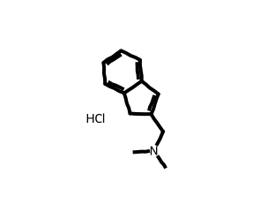 CN(C)CC1=Cc2ccccc2C1.Cl